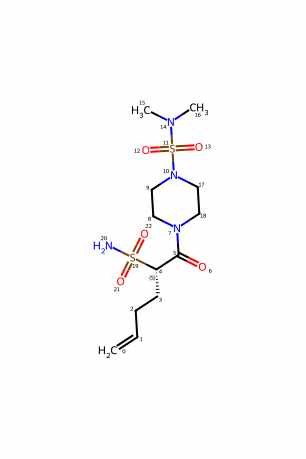 C=CCC[C@@H](C(=O)N1CCN(S(=O)(=O)N(C)C)CC1)S(N)(=O)=O